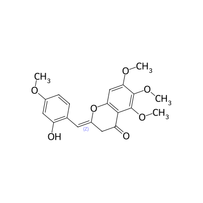 COc1ccc(/C=C2/CC(=O)c3c(cc(OC)c(OC)c3OC)O2)c(O)c1